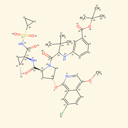 COc1cnc(O[C@@H]2C[C@@H](C(=O)N[C@]3(C(=O)NS(=O)(=O)C4CC4)C[C@H]3I)N(C(=O)C(Nc3cccc(C(=O)OC(C)(C)C)c3)C(C)(C)C)C2)c2cc(Cl)ccc12